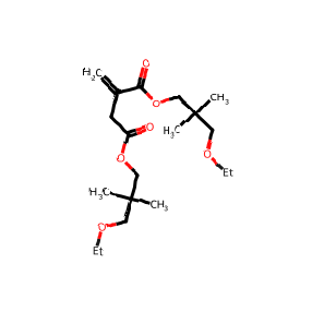 C=C(CC(=O)OCC(C)(C)COCC)C(=O)OCC(C)(C)COCC